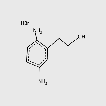 Br.Nc1ccc(N)c(CCO)c1